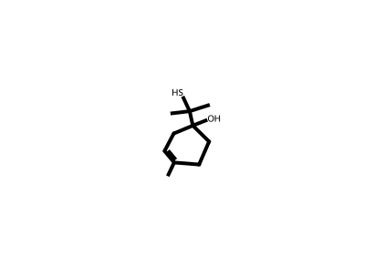 CC1=CCC(O)(C(C)(C)S)CC1